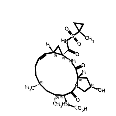 C[C@@H]1CCC=C[C@@H]2C[C@@]2(C(=O)NS(=O)(=O)C2(C)CC2)NC(=O)[C@@H]2C[C@@H](O)CN2C(=O)[C@@H](NC(=O)O)[C@H](C)C1